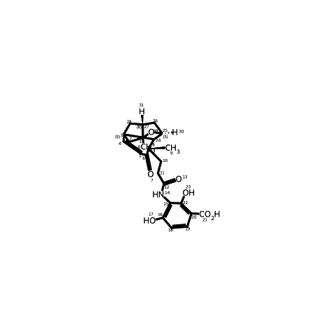 CC12C[C@@]34C=CC(=O)[C@@](C)(CCC(=O)Nc5c(O)ccc(C(=O)O)c5O)C3[C@H](C[C@H]1C4)O2